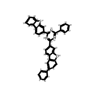 c1ccc(-c2ccc3oc4cc(-c5nc(-c6ccccc6)nc(-c6ccc7c(c6)sc6ccccc67)n5)ccc4c3c2)cc1